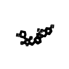 O=C1SC(=Cc2ccc3c(cnn3Cc3ccc(Cl)cc3C(F)(F)F)c2)C(=O)N1C1CCCNC1